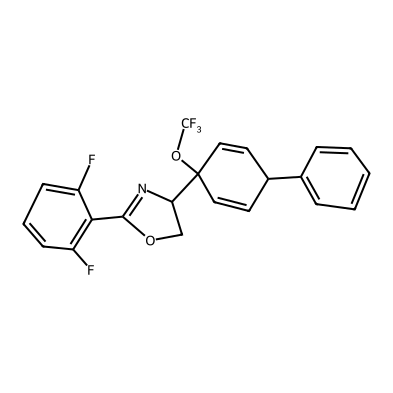 Fc1cccc(F)c1C1=NC(C2(OC(F)(F)F)C=CC(c3ccccc3)C=C2)CO1